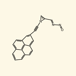 O=NN=CC1=CN1C#Cc1cc2ccc3cccc4ccc(c1)c2c34